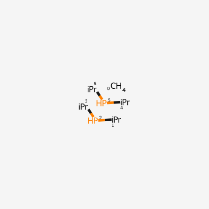 C.CC(C)PC(C)C.CC(C)PC(C)C